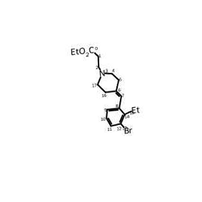 CCOC(=O)CCN1CCC(=Cc2cccc(Br)c2CC)CC1